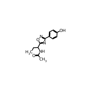 CCC(NC(C)=O)c1nc(-c2ccc(O)cc2)no1